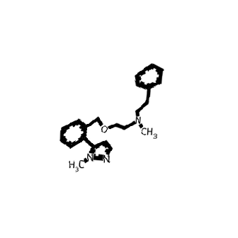 CN(CCOCc1ccccc1-c1ccnn1C)CCc1ccccc1